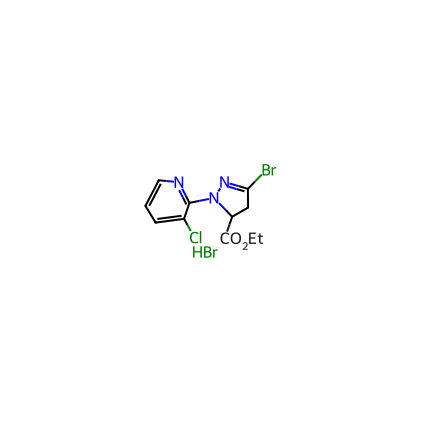 Br.CCOC(=O)C1CC(Br)=NN1c1ncccc1Cl